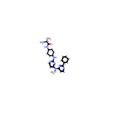 C[C@H](N)C(=O)NC1CCC(Nc2nccc(N(C)c3ccnc(-c4ccccc4)n3)n2)CC1